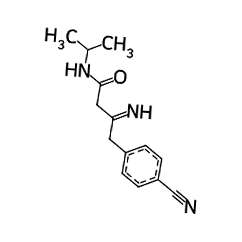 CC(C)NC(=O)CC(=N)Cc1ccc(C#N)cc1